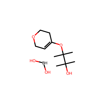 CC(C)(O)C(C)(C)OC1=CCOCC1.OBO